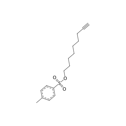 C#CCCCCCCCOS(=O)(=O)c1ccc(C)cc1